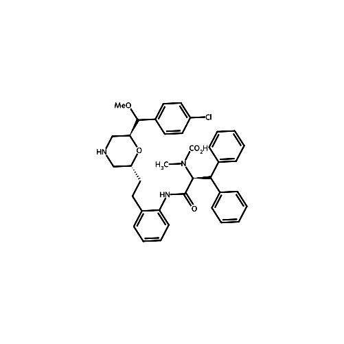 COC(c1ccc(Cl)cc1)[C@@H]1CNC[C@@H](CCc2ccccc2NC(=O)[C@H](C(c2ccccc2)c2ccccc2)N(C)C(=O)O)O1